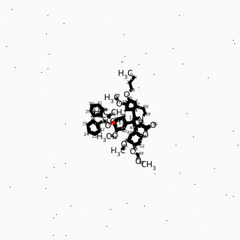 CCCCOc1cc2c(cc1OC)-c1c(-c3ccc(O[Si](c4ccccc4)(c4ccccc4)C(C)(C)C)c(OC)c3)c3c4cc(OC)c(OCOC)cc4oc(=O)c3n1CC2